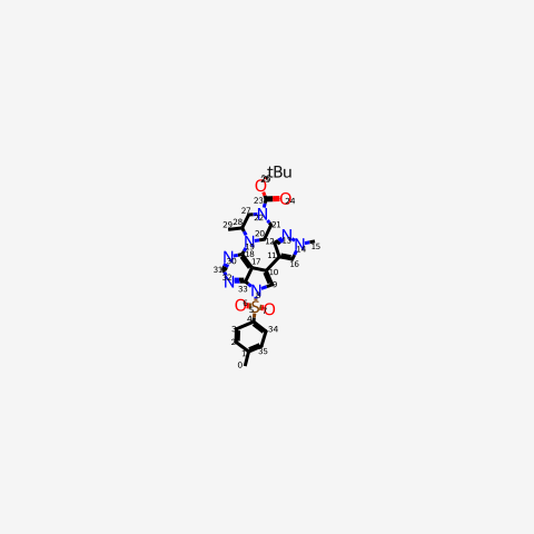 Cc1ccc(S(=O)(=O)n2cc(-c3cnn(C)c3)c3c(N4CCN(C(=O)OC(C)(C)C)CC4C)ncnc32)cc1